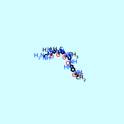 C=C(Br)C(=O)Nc1ccc2[nH]c(C(=O)Nc3cc(C(=O)Nc4cc(C(=O)Nc5cc(C(=O)NCCC(=N)N)n(C)c5)n(C)c4)n(C)c3)cc2c1